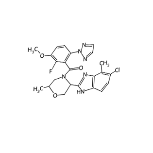 COc1ccc(-n2nccn2)c(C(=O)N2CC(C)OCC2c2nc3c(C)c(Cl)ccc3[nH]2)c1F